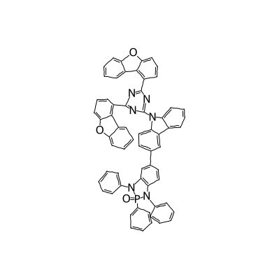 O=P1(c2ccccc2)N(c2ccccc2)c2ccc(-c3ccc4c(c3)c3ccccc3n4-c3nc(-c4cccc5oc6ccccc6c45)nc(-c4cccc5oc6ccccc6c45)n3)cc2N1c1ccccc1